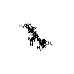 CC(=O)N1CCN(C2CC3(CCN(c4ccc(C(=O)NS(=O)(=O)c5cc6c(c([N+](=O)[O-])c5)N[C@@H]([C@H]5CC[C@](C)(O)CC5)CO6)c(Oc5cc6c(F)c[nH]c6nc5F)c4)CC3)C2)[C@H](c2ccccc2C(C)C)C1